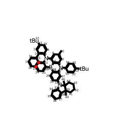 Cc1cc2c3c(c1)N(c1ccc(C(C)(C)C)cc1-c1ccccc1)c1ccccc1B3c1ccc(N3c4ccccc4C4(C)CCCCC34C)cc1N2c1ccc(C(C)(C)C)cc1